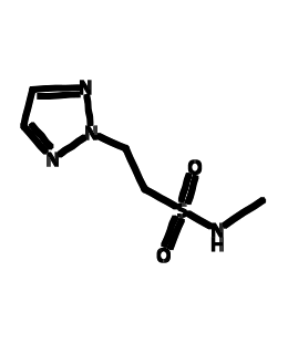 CNS(=O)(=O)CCn1nccn1